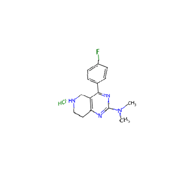 CN(C)c1nc2c(c(-c3ccc(F)cc3)n1)CNCC2.Cl